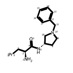 CC(C)C[C@H](N)C(=O)N[C@H]1CCN(Cc2ccccc2)C1